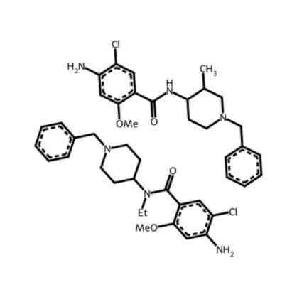 CCN(C(=O)c1cc(Cl)c(N)cc1OC)C1CCN(Cc2ccccc2)CC1.COc1cc(N)c(Cl)cc1C(=O)NC1CCN(Cc2ccccc2)CC1C